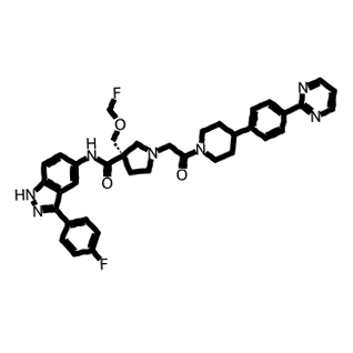 O=C(CN1CC[C@@](COCF)(C(=O)Nc2ccc3[nH]nc(-c4ccc(F)cc4)c3c2)C1)N1CCC(c2ccc(-c3ncccn3)cc2)CC1